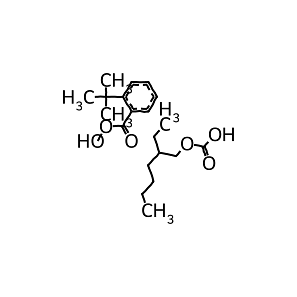 CC(C)(C)c1ccccc1C(=O)OO.CCCCC(CC)COC(=O)O